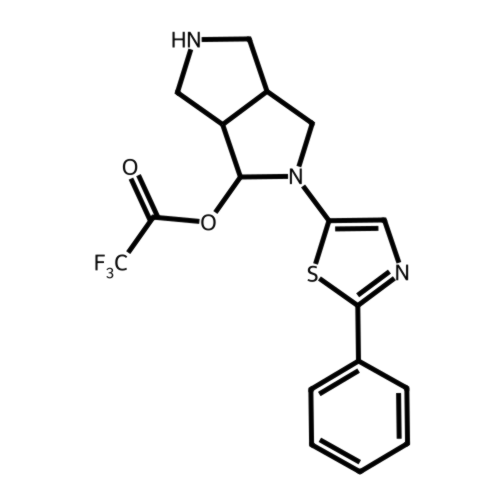 O=C(OC1C2CNCC2CN1c1cnc(-c2ccccc2)s1)C(F)(F)F